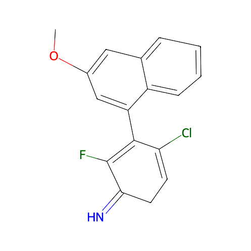 COc1cc(C2=C(F)C(=N)CC=C2Cl)c2ccccc2c1